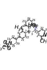 Cc1cc(/C(C[C@H](c2ccc(C3=CCN(S(C)(=O)=O)CC3)cc2)c2ccccc2C)=N/O)ccn1